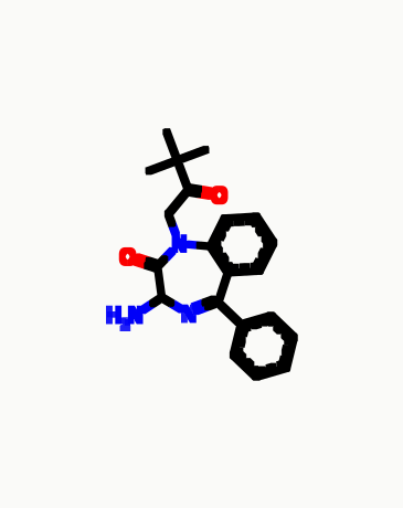 CC(C)(C)C(=O)CN1C(=O)C(N)N=C(c2ccccc2)c2ccccc21